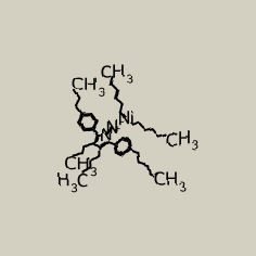 CCCCCC1=C(c2ccc(CCCCC)cc2)[N+](=[N-])C(c2ccc(CCCC)cc2)=C1CCCC.CCCCCC[CH2][Ni][CH2]CCCCCC